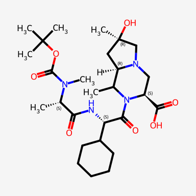 CC1[C@H]2C[C@@](C)(O)CN2C[C@@H](C(=O)O)N1C(=O)[C@@H](NC(=O)[C@H](C)N(C)C(=O)OC(C)(C)C)C1CCCCC1